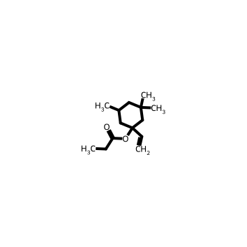 C=CC1(OC(=O)CC)CC(C)CC(C)(C)C1